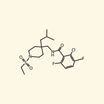 CCS(=O)(=O)N1CCC(CNC(=O)c2c(F)ccc(F)c2Cl)(CC(C)C)CC1